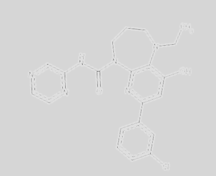 CCN1CCCN(C(=O)Nc2cnccn2)c2nc(-c3cccc(Cl)c3)cc(O)c21